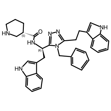 O=C(N[C@H](Cc1c[nH]c2ccccc12)c1nnc(CCc2c[nH]c3ccccc23)n1Cc1ccccc1)[C@H]1CCCNC1